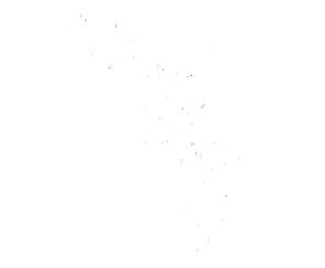 CC(C)C[C@H](NC(=O)c1ccc(N(C)C)cc1)C(=O)N1CC[C@@H]2[C@H]1C(=O)CN2C(=O)c1ccc(O)cc1